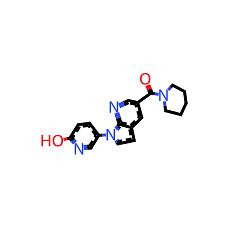 O=C(c1cnc2c(ccn2-c2ccc(O)nc2)c1)N1CCCCC1